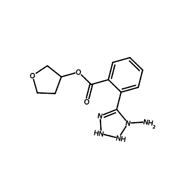 NN1NNN=C1c1ccccc1C(=O)OC1CCOC1